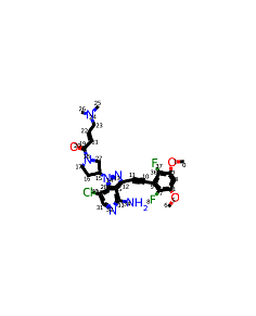 COc1cc(OC)c(F)c(C#Cc2nn(C3CCN(C(=O)C=CCN(C)C)C3)c3c(Cl)cnc(N)c23)c1F